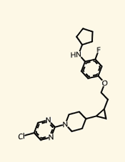 Fc1cc(OCCC2CC2C2CCN(c3ncc(Cl)cn3)CC2)ccc1NC1CCCC1